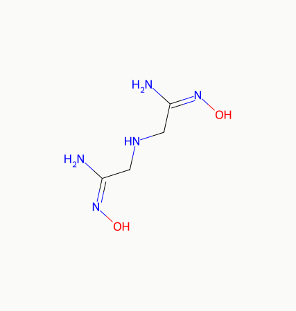 N/C(CNC/C(N)=N\O)=N/O